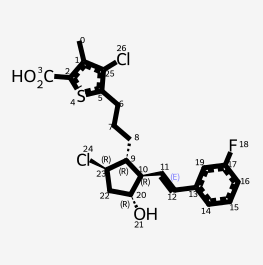 Cc1c(C(=O)O)sc(CCC[C@@H]2[C@@H](/C=C/c3cccc(F)c3)[C@H](O)C[C@H]2Cl)c1Cl